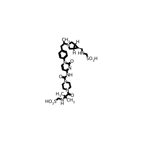 CC(Cc1ccc(-n2ccc(NC(=O)N3CCN(C(=O)C(C)(C)NCS(=O)(=O)O)CC3)nc2=O)cc1)N1C[C@@H]2[C@@H](CNCS(=O)(=O)O)[C@@H]2C1